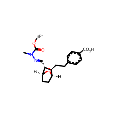 CCCOC(=O)N(C)N=C[C@@H]1[C@@H](CCc2ccc(C(=O)O)cc2)[C@H]2CC[C@@H]1O2